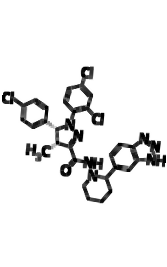 C[C@H]1C(C(=O)NN2CCCCC2c2ccc3nn[nH]c3c2)=NN(c2ccc(Cl)cc2Cl)[C@H]1c1ccc(Cl)cc1